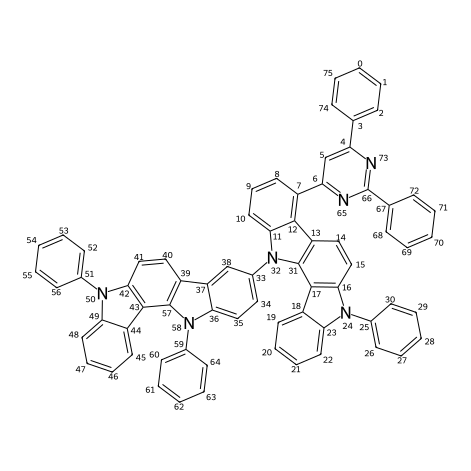 c1ccc(-c2cc(-c3cccc4c3c3ccc5c(c6ccccc6n5-c5ccccc5)c3n4-c3ccc4c(c3)c3ccc5c(c6ccccc6n5-c5ccccc5)c3n4-c3ccccc3)nc(-c3ccccc3)n2)cc1